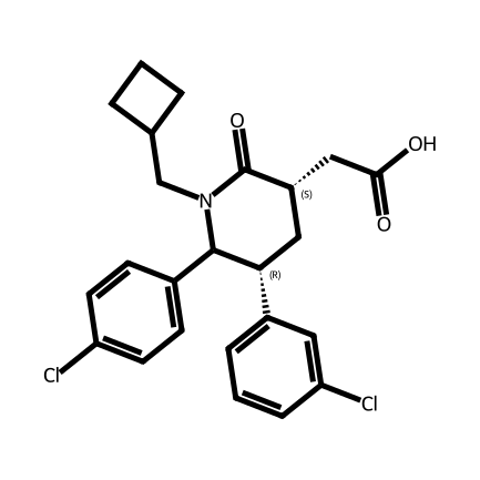 O=C(O)C[C@@H]1C[C@H](c2cccc(Cl)c2)C(c2ccc(Cl)cc2)N(CC2CCC2)C1=O